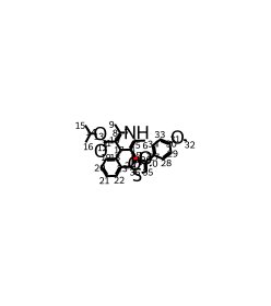 COC(=O)C1=C(C)NC(C)=C(C(=O)OC(C)C)C1c1ccccc1-c1nc(-c2ccc(OC)cc2)cs1